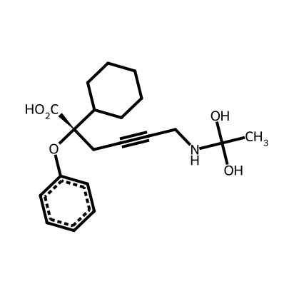 CC(O)(O)NCC#CC[C@@](Oc1ccccc1)(C(=O)O)C1CCCCC1